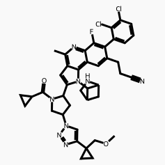 COCC1(c2cn(C3CC(c4cc5c(C)nc6c(F)c(-c7cccc(Cl)c7Cl)c(CCC#N)cc6c5n4C4C5CNC4C5)N(C(=O)C4CC4)C3)nn2)CC1